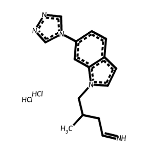 CC(CC=N)Cn1ccc2ccc(-n3cnnc3)cc21.Cl.Cl